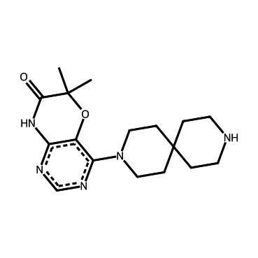 CC1(C)Oc2c(ncnc2N2CCC3(CCNCC3)CC2)NC1=O